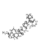 CN(C)c1cccc2c(S(=O)(=O)N3CCN([C@@H](CC4CCCCC4)C(=O)Nc4nccs4)C(=O)C3)cccc12